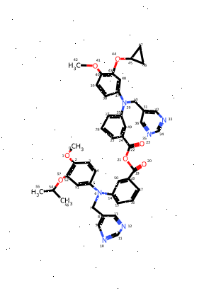 COc1ccc(N(Cc2cncnc2)c2cccc(C(=O)OC(=O)c3cccc(N(Cc4cncnc4)c4ccc(OC)c(OC5CC5)c4)c3)c2)cc1OC(C)C